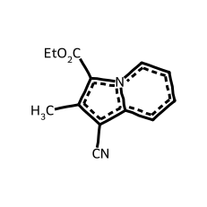 CCOC(=O)c1c(C)c(C#N)c2ccccn12